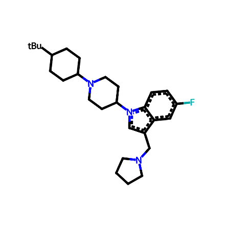 CC(C)(C)C1CCC(N2CCC(n3cc(CN4CCCC4)c4cc(F)ccc43)CC2)CC1